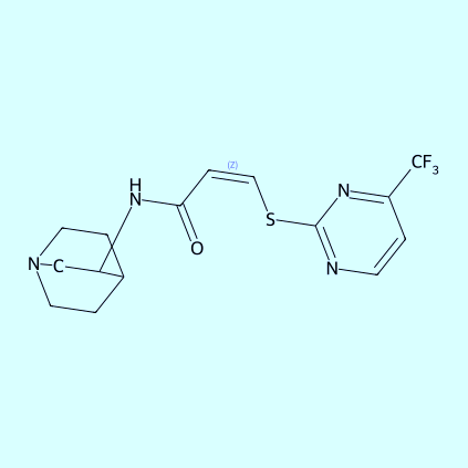 O=C(/C=C\Sc1nccc(C(F)(F)F)n1)NC1CN2CCC1CC2